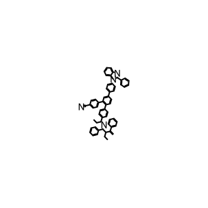 C=C(c1ccccc1)C(CC)C(/N=C(\CC)c1ccc(-c2ccc(-c3ccc(-n4c(-c5ccccc5)nc5ccccc54)cc3)cc2-c2ccc(C#N)cc2)cc1)c1ccccc1